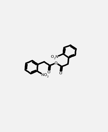 O=C(Cc1ccccc1[N+](=O)[O-])OC(=O)Cc1ccccc1[N+](=O)[O-]